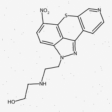 O=[N+]([O-])c1ccc2c3c(nn2CCNCCO)-c2ccncc2Sc13